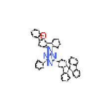 c1ccc(-c2nc(-c3ccc4c(c3)-c3ccccc3C43c4ccccc4-c4ccccc43)nc(-n3c4ccccc4c4c5oc6ccccc6c5ccc43)n2)cc1